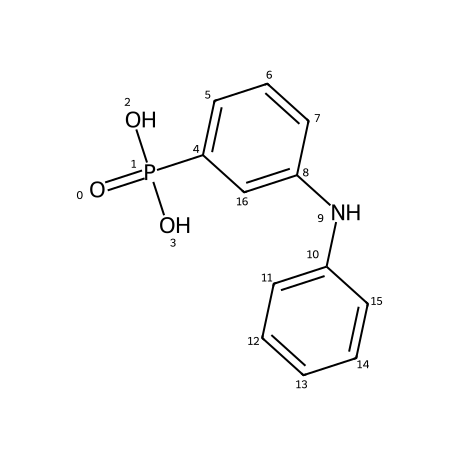 O=P(O)(O)c1cccc(Nc2ccccc2)c1